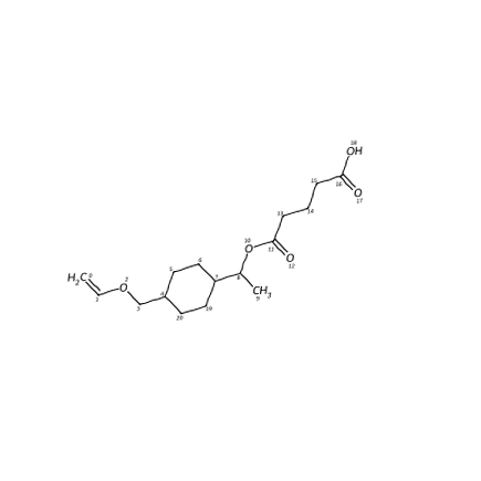 C=COCC1CCC(C(C)OC(=O)CCCC(=O)O)CC1